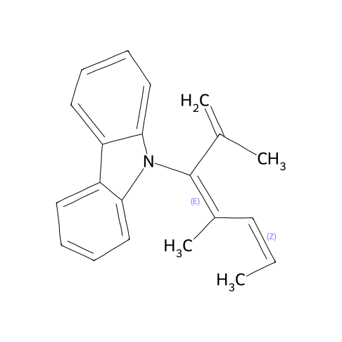 C=C(C)/C(=C(C)\C=C/C)n1c2ccccc2c2ccccc21